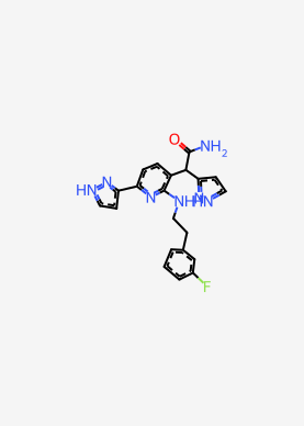 NC(=O)C(c1cc[nH]n1)c1ccc(-c2cc[nH]n2)nc1NCCc1cccc(F)c1